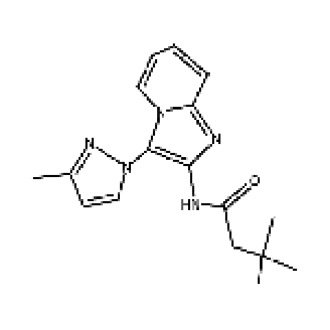 Cc1ccn(-c2c(NC(=O)CC(C)(C)C)nc3ccccn23)n1